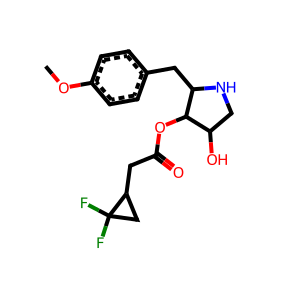 COc1ccc(CC2NCC(O)C2OC(=O)CC2CC2(F)F)cc1